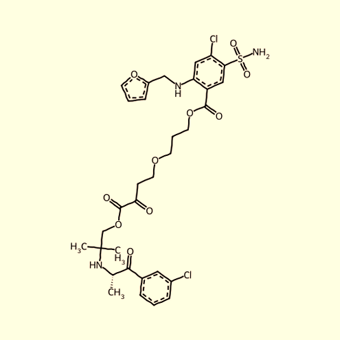 C[C@H](NC(C)(C)COC(=O)C(=O)CCOCCCOC(=O)c1cc(S(N)(=O)=O)c(Cl)cc1NCc1ccco1)C(=O)c1cccc(Cl)c1